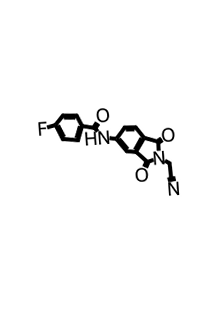 N#CCN1C(=O)c2ccc(NC(=O)c3ccc(F)cc3)cc2C1=O